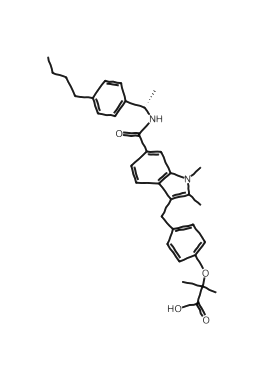 CCCCc1ccc([C@H](C)NC(=O)c2ccc3c(Cc4ccc(OC(C)(C)C(=O)O)cc4)c(C)n(C)c3c2)cc1